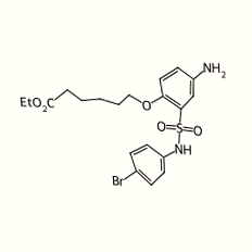 CCOC(=O)CCCCCOc1ccc(N)cc1S(=O)(=O)Nc1ccc(Br)cc1